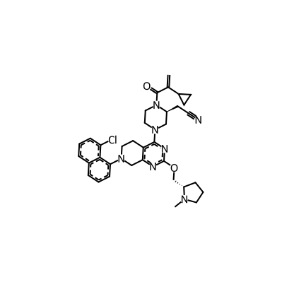 C=C(C(=O)N1CCN(c2nc(OC[C@@H]3CCCN3C)nc3c2CCN(c2cccc4cccc(Cl)c24)C3)C[C@@H]1CC#N)C1CC1